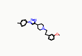 COc1cccc(CCN2CCC(c3cn(-c4ccc(C)cc4)nn3)CC2)c1